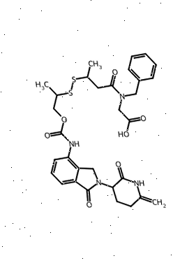 C=C1CCC(N2Cc3c(NC(=O)OCC(C)SSC(C)CC(=O)N(CC(=O)O)Cc4ccccc4)cccc3C2=O)C(=O)N1